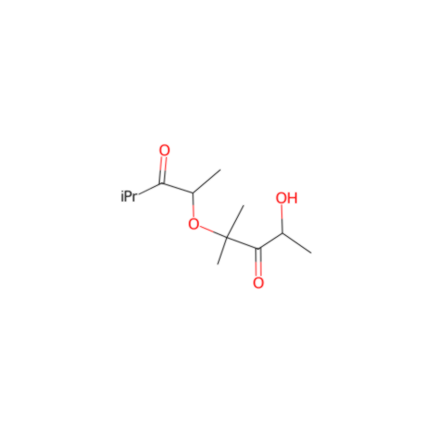 CC(C)C(=O)C(C)OC(C)(C)C(=O)C(C)O